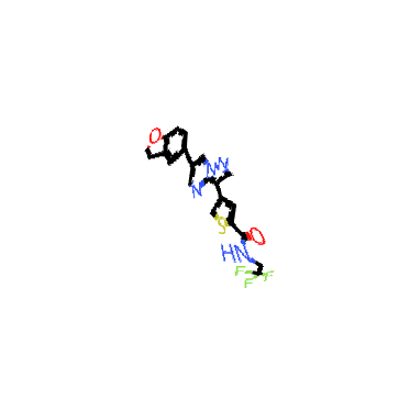 O=C(NCC(F)(F)F)c1cc(-c2cnn3cc(-c4ccc5c(c4)CCO5)cnc23)cs1